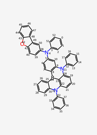 c1ccc(N(c2ccc3c(c2)N(c2ccccc2)c2cccc4c2B3c2ccccc2N4c2ccccc2)c2ccc3oc4ccccc4c3c2)cc1